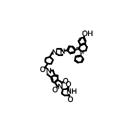 O=C1CCC(N2C(=O)c3cc4c(cc3C2=O)CN(C(=O)C2CCC(CN3CCN(c5ccc([C@@H]6c7ccc(O)cc7CC[C@@H]6c6ccccc6)cc5)CC3)CC2)C4)C(=O)N1